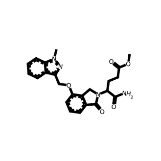 COC(=O)CCC(C(N)=O)N1Cc2c(OCc3nn(C)c4ccccc34)cccc2C1=O